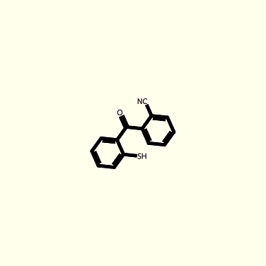 N#Cc1ccccc1C(=O)c1ccccc1S